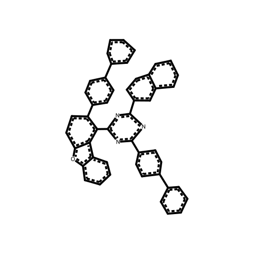 c1ccc(-c2ccc(-c3nc(-c4ccc5ccccc5c4)nc(-c4c(-c5ccc(-c6ccccc6)cc5)ccc5oc6ccccc6c45)n3)cc2)cc1